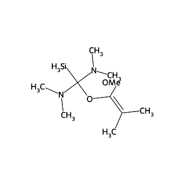 COC(OC([SiH3])(N(C)C)N(C)C)=C(C)C